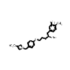 CCCCC(CCCOc1ccc(CN2CC(C(=O)O)C2)cc1)Cc1ccc(C)c(C)c1